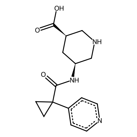 O=C(O)[C@H]1CNC[C@@H](NC(=O)C2(c3ccncc3)CC2)C1